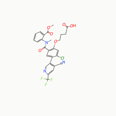 COC(=O)c1ccccc1N(C)C(=O)c1cc(-c2cnc(C(F)(F)F)cc2C#N)c(Cl)cc1OCCCC(=O)O